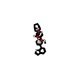 COC(=O)c1ccc(N2C3CCC2CN(CC(=O)N2CC=C(c4cccc5ccsc45)CC2)C3)nc1